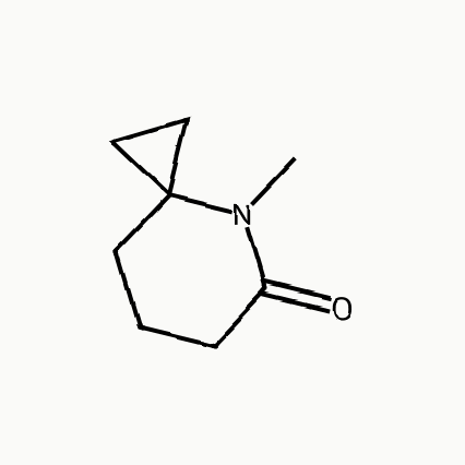 CN1C(=O)CCCC12CC2